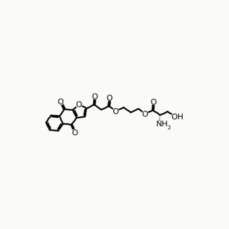 N[C@@H](CO)C(=O)OCCCOC(=O)CC(=O)c1cc2c(o1)C(=O)c1ccccc1C2=O